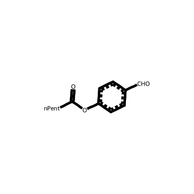 CCCCCC(=O)Oc1ccc(C=O)cc1